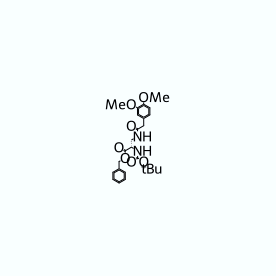 COc1ccc(CC(=O)NC[C@H](NC(=O)OC(C)(C)C)C(=O)OCc2ccccc2)cc1OC